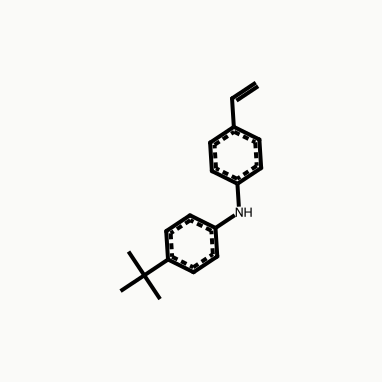 C=Cc1ccc(Nc2ccc(C(C)(C)C)cc2)cc1